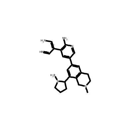 BN1CCCC1c1cc(-c2cnc(N)c(/C(C=N)=C/N)c2)cc2c1CN(C)CC2